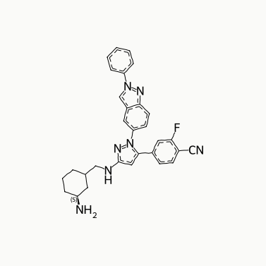 N#Cc1ccc(-c2cc(NCC3CCC[C@H](N)C3)nn2-c2ccc3nn(-c4ccccc4)cc3c2)cc1F